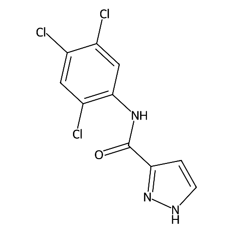 O=C(Nc1cc(Cl)c(Cl)cc1Cl)c1cc[nH]n1